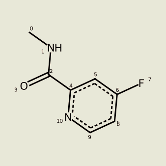 CNC(=O)c1cc(F)[c]cn1